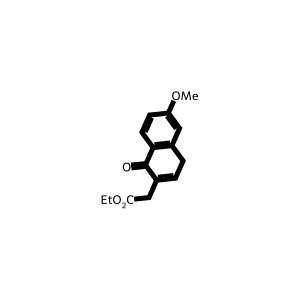 CCOC(=O)CC1=CCc2cc(OC)ccc2C1=O